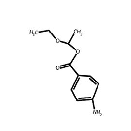 CCOC(C)OC(=O)c1ccc(N)cc1